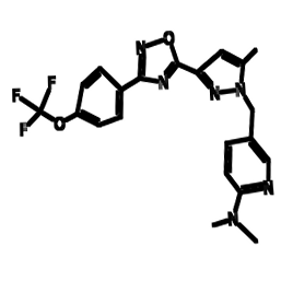 Cc1cc(-c2nc(-c3ccc(OC(F)(F)F)cc3)no2)nn1Cc1ccc(N(C)C)nc1